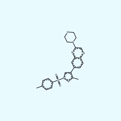 Cc1ccc(S(=O)(=O)n2cc(-c3ccc4ncc(N5CCOCC5)nc4c3)c(C)n2)cc1